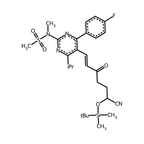 CC(C)c1nc(N(C)S(C)(=O)=O)nc(-c2ccc(F)cc2)c1C=CC(=O)CCC(C#N)O[Si](C)(C)C(C)(C)C